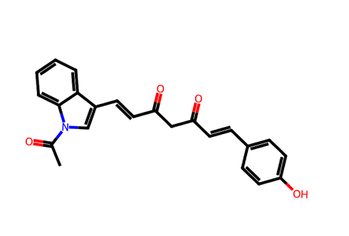 CC(=O)n1cc(C=CC(=O)CC(=O)C=Cc2ccc(O)cc2)c2ccccc21